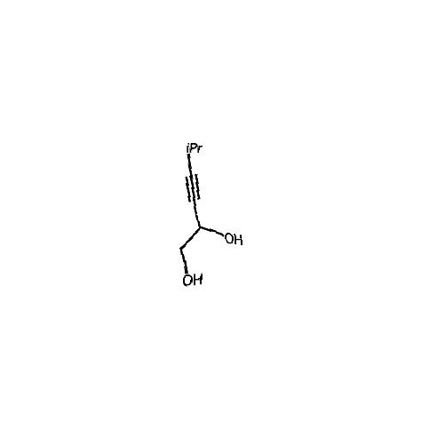 CC(C)C#CC(O)CO